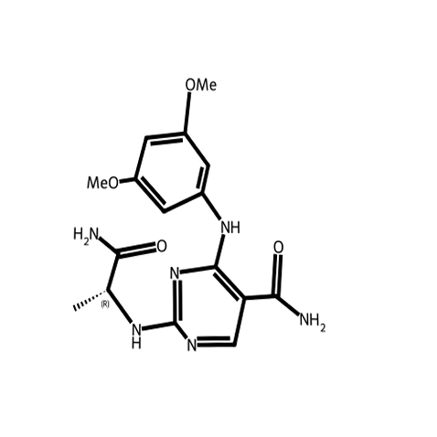 COc1cc(Nc2nc(N[C@H](C)C(N)=O)ncc2C(N)=O)cc(OC)c1